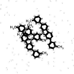 Cc1cccc(-c2ccc3c4ccc(-c5cccc(C)c5)cc4n(-c4cc(-c5cc(C)nc(C)c5)c(-n5c6cc(-c7cccc(C)c7)ccc6c6ccc(-c7cccc(C)c7)cc65)cc4C#N)c3c2)c1